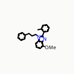 COc1cccc2c1nc(-c1ccccc1C)n2CCCc1ccccc1